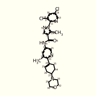 Cc1cc(NC(=O)c2cnn(-c3ncc(Cl)cc3Cl)c2C)cnc1C1=CCC(N2CCOCC2)CC1